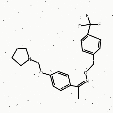 CC(=NOCc1ccc(C(F)(F)F)cc1)c1ccc(OCN2CCCC2)cc1